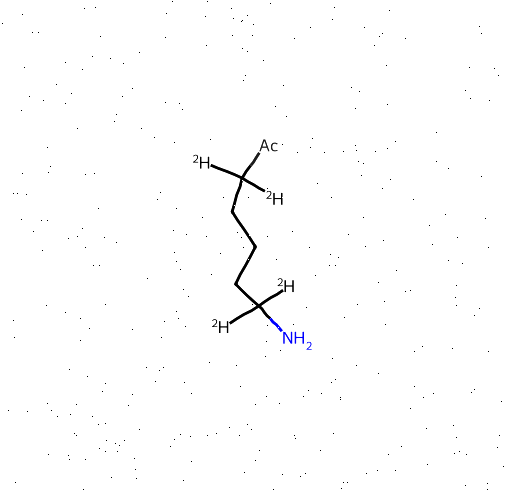 [2H]C([2H])(N)CCCC([2H])([2H])C(C)=O